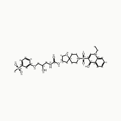 CCn1cc(S(=O)(=O)N2CCC3(CC2)C[C@H](OC(=O)NCC(O)COc2cccc(S(C)(=O)=O)c2)CO3)c(=O)c2ccccc21